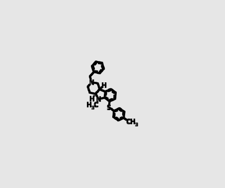 Cc1ccc(Sc2cccc3c2N(C)[C@H]2CCN(Cc4ccccc4)C[C@H]32)cc1